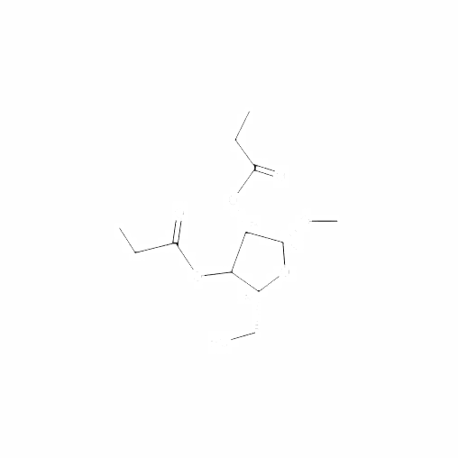 CCC(=O)OC1[C@@H](CO)O[C@@H](OC)[C@H]1OC(=O)CC